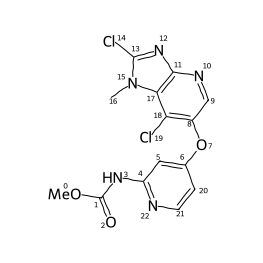 COC(=O)Nc1cc(Oc2cnc3nc(Cl)n(C)c3c2Cl)ccn1